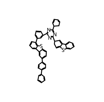 C1=CCC(c2nc(-c3cccc(-c4cccc5c4sc4ccc(-c6ccc(-c7ccccc7)cc6)cc45)c3)nc(C3C=c4c(sc5ccccc45)=CC3)n2)C=C1